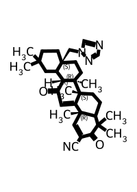 CC1(C)CC[C@]2(Cn3cncn3)CC[C@]3(C)[C@H](C(=O)C=C4[C@@]5(C)C=C(C#N)C(=O)C(C)(C)C5CC[C@]43C)C2C1